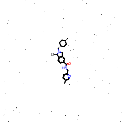 CC[C@@H]1c2ccc(C(=O)NCc3ccc(C)cn3)cc2CN1C[C@H]1CC[C@H](C)CC1